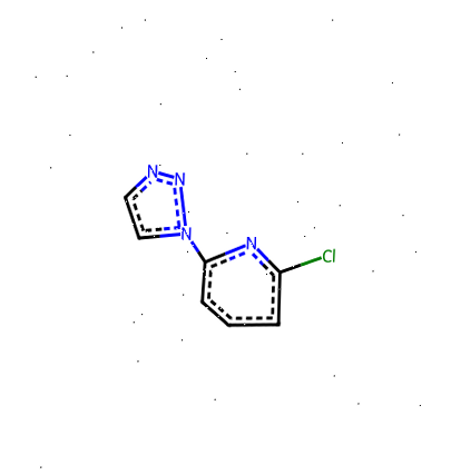 Clc1cccc(-n2ccnn2)n1